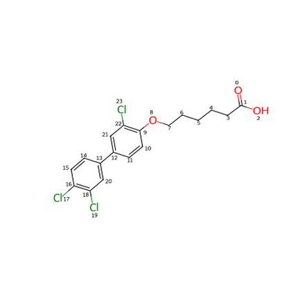 O=C(O)CCCCCOc1ccc(-c2ccc(Cl)c(Cl)c2)cc1Cl